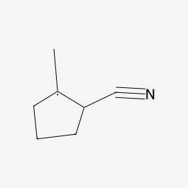 C[C]1CCCC1C#N